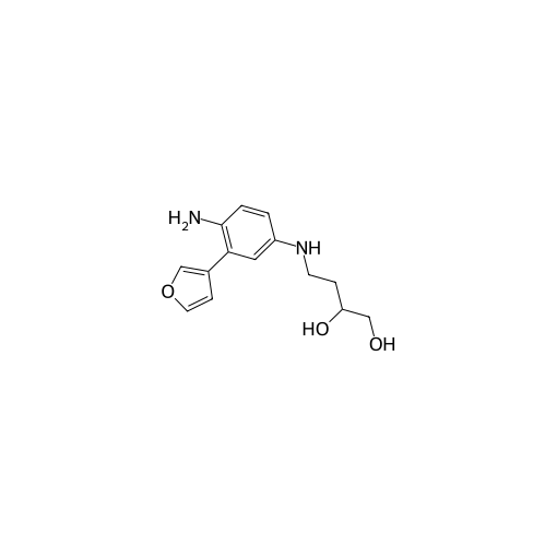 Nc1ccc(NCCC(O)CO)cc1-c1ccoc1